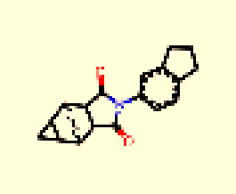 O=C1C2C3CCC(C4CC43)C2C(=O)N1c1ccc2c(c1)CCC2